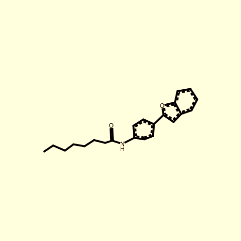 CCCCCCCC(=O)Nc1ccc(-c2cc3ccccc3o2)cc1